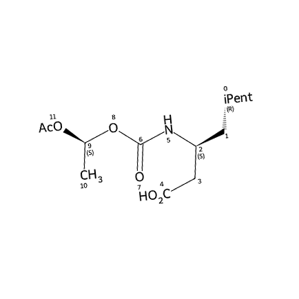 CCC[C@@H](C)C[C@@H](CC(=O)O)NC(=O)O[C@@H](C)OC(C)=O